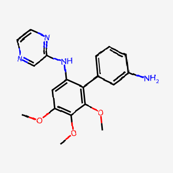 COc1cc(Nc2cnccn2)c(-c2cccc(N)c2)c(OC)c1OC